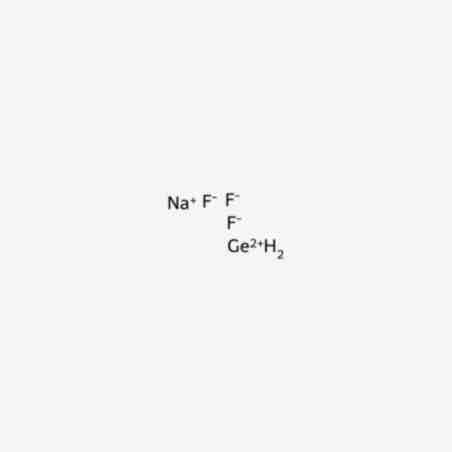 [F-].[F-].[F-].[GeH2+2].[Na+]